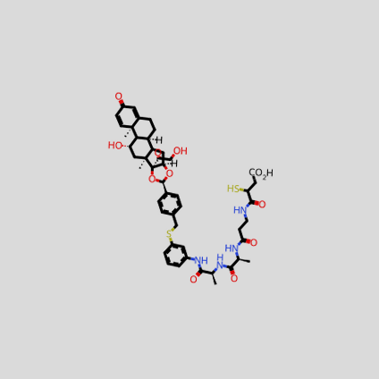 C[C@H](NC(=O)CCNC(=O)C(S)CC(=O)O)C(=O)N[C@@H](C)C(=O)Nc1cccc(SCc2ccc([C@@H]3O[C@@H]4CC5[C@@H]6CCC7=CC(=O)C=C[C@]7(C)C6[C@@H](O)C[C@]5(C)[C@]4(C(=O)CO)O3)cc2)c1